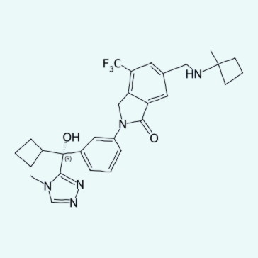 Cn1cnnc1[C@](O)(c1cccc(N2Cc3c(cc(CNC4(C)CCC4)cc3C(F)(F)F)C2=O)c1)C1CCC1